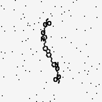 C=CC(=O)OCCCOc1ccc(CCc2ccc3c(c2)Cc2cc(CCc4ccc(OCCCOC(=O)C=C)nc4)ccc2-3)nc1